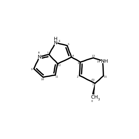 C[C@H]1C=C(c2c[nH]c3ncccc23)CNC1